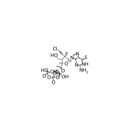 C[C@H](OP(=O)(O)OP(=O)(O)OP(=O)(O)O)[C@H]1O[C@@H](n2cnc3c(=S)[nH]c(N)nc32)C(F)(C#CCl)C1CO